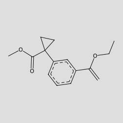 C=C(OCC)c1cccc(C2(C(=O)OC)CC2)c1